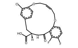 O=C1N[C@H](C(=O)O)Cc2ccc(c(Cl)c2)OCC=CCOc2ccc(F)c(F)c21